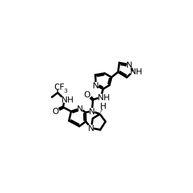 C[C@@H](NC(=O)c1ccc2c(n1)N(C(=O)Nc1cc(-c3cn[nH]c3)ccn1)[C@H]1CCN2C1)C(F)(F)F